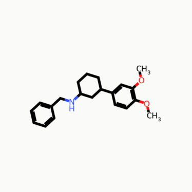 COc1ccc(C2CCCC(NCc3ccccc3)C2)cc1OC